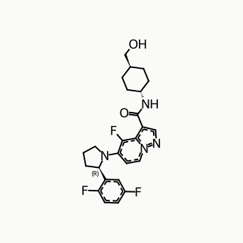 O=C(N[C@H]1CC[C@H](CO)CC1)c1cnn2ccc(N3CCC[C@@H]3c3cc(F)ccc3F)c(F)c12